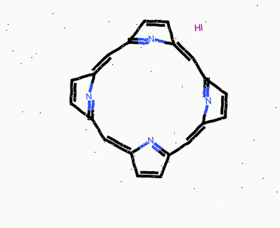 C1=CC2=NC1=CC1=NC(=CC3=NC(=CC4=NC(=C2)C=C4)C=C3)C=C1.I